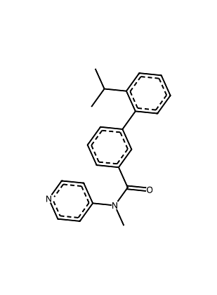 CC(C)c1ccccc1-c1cccc(C(=O)N(C)c2ccncc2)c1